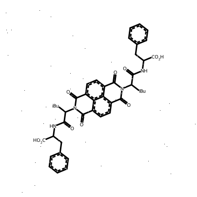 CCC(C)C(C(=O)NC(Cc1ccccc1)C(=O)O)N1C(=O)c2ccc3c4c(ccc(c24)C1=O)C(=O)N(C(C(=O)NC(Cc1ccccc1)C(=O)O)C(C)CC)C3=O